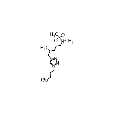 CC(CCCN(C)S(C)(=O)=O)Cc1cn(CCCC(C)(C)C)nn1